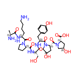 C[C@H](N)C(=O)N[C@@H](CCCCN)C(=O)N1CCC[C@H]1C(=O)N[C@@H](CO)C(=O)N[C@@H](Cc1ccc(O)cc1)C(=O)N1C[C@H](O)C[C@H]1C(=O)N1C[C@H](O)C[C@H]1C(=O)O